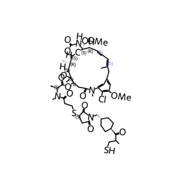 COc1cc2cc(c1Cl)N(C)C(=O)C[C@H](OC(=O)[C@H](C)N(C)C(=O)CCS[C@H]1CC(=O)N(C[C@H]3CC[C@H](C(=O)C(C)CS)CC3)C1=O)[C@]1(C)O[C@H]1[C@H](C)[C@@H]1C[C@@](O)(NC(=O)O1)[C@H](OC)/C=C/C=C(\C)C2